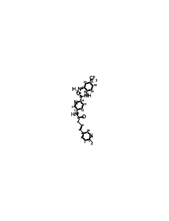 Cc1ccc(/C=C/CC(=O)Nc2ccc(C(=O)Nc3ccc(C(F)(F)F)cc3N)nc2)cn1